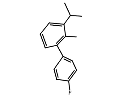 Cc1c(-c2ccc(F)cc2)cccc1C(C)C